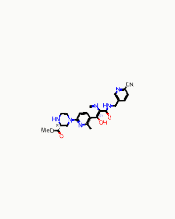 C=N/C(C(=O)NCc1ccc(C#N)nc1)=C(/O)c1ccc(N2CCN[C@@H](C(=O)OC)C2)nc1C